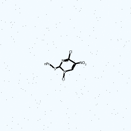 CCCSC1N=C(Cl)C([N+](=O)[O-])=CN1Cl